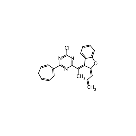 C=C/C=c1/oc2ccccc2/c1=C(/C)c1nc(Cl)nc(C2=CC=CCC=C2)n1